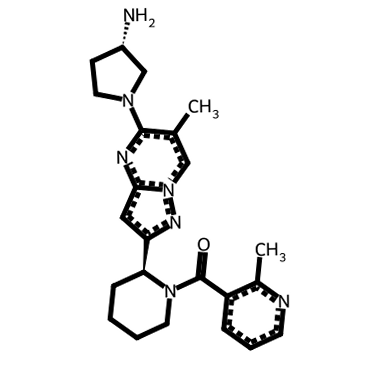 Cc1cn2nc([C@@H]3CCCCN3C(=O)c3cccnc3C)cc2nc1N1CC[C@H](N)C1